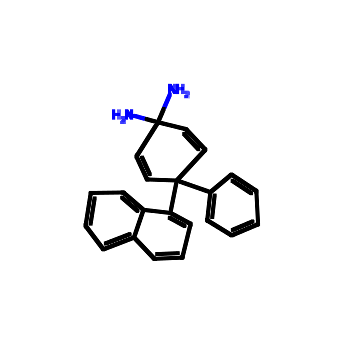 NC1(N)C=CC(c2ccccc2)(c2cccc3ccccc23)C=C1